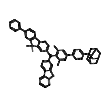 Cc1cc(-c2ccc(C34CC5CC(CC(C5)C3)C4)cc2)cc(C)c1N(c1ccc2c(c1)C(C)(C)c1cc(-c3ccccc3)ccc1-2)c1ccc2c(c1)sc1ccccc12